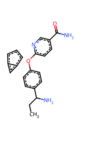 CCC(N)c1ccc(Oc2ccc(C(N)=O)cn2)cc1.c1cc2cc-2c1